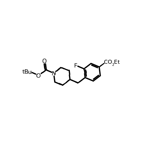 CCOC(=O)c1ccc(CC2CCN(C(=O)OC(C)(C)C)CC2)c(F)c1